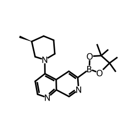 C[C@H]1CCCN(c2ccnc3cnc(B4OC(C)(C)C(C)(C)O4)cc23)C1